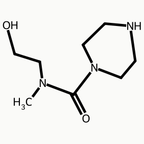 CN(CCO)C(=O)N1CCNCC1